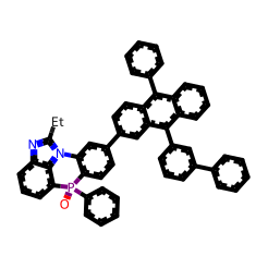 CCc1nc2cccc3c2n1-c1cc(-c2ccc4c(-c5ccccc5)c5ccccc5c(-c5cccc(-c6ccccc6)c5)c4c2)ccc1P3(=O)c1ccccc1